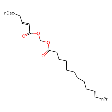 CCC/C=C/CCCCCCCCC(=O)OCOC(=O)/C=C/CCCCCCCCCCC